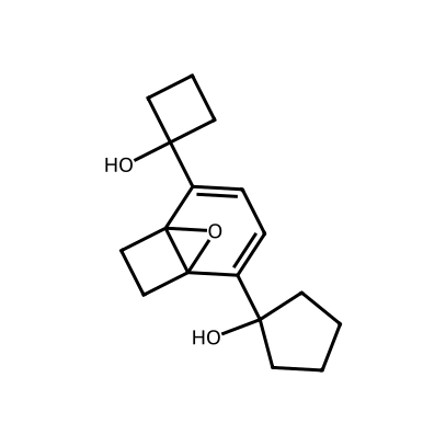 OC1(C2=CC=C(C3(O)CCC3)C34CCC23O4)CCCC1